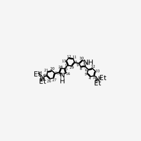 CCN(CC)c1ccc(-c2cc(-c3cccc(-c4c[nH]c(-c5ccc(N(CC)CC)cc5)c4)c3)c[nH]2)cc1